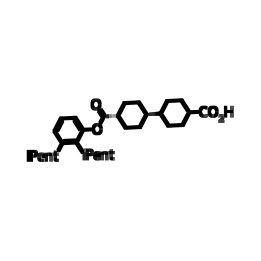 CCCC(C)c1cccc(OC(=O)[C@H]2CC[C@H](C3CCC(C(=O)O)CC3)CC2)c1C(C)CCC